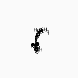 CC(C)(C)OC(=O)N1CCC2(CC1)CN(CCCc1cccc3c1c1cccnc1n3C1CCC(=O)NC1=O)C2